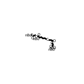 CCCCOC(COC(=O)CCCCCCCCC(=O)OCC(OCCCC)OCCCC)OCCCC